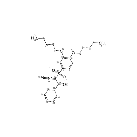 CCCCCOc1ccc(S(=O)(=O)C(=[N+]=[N-])C(=O)c2ccccc2)cc1OCCCCC